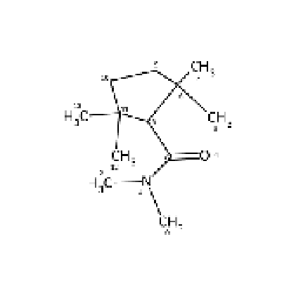 CN(C)C(=O)C1C(C)(C)CCC1(C)C